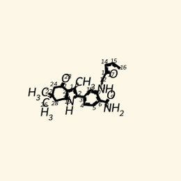 Cc1c(-c2ccc(C(N)=O)c(NCc3ccco3)c2)[nH]c2c1C(=O)CC(C)(C)C2